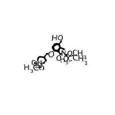 CC(C)(C)OC(=O)N1Cc2c(CO)ccc(OCC3CCN(S(C)(=O)=O)CC3)c2C1=O